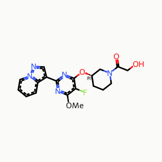 COc1nc(-c2cnn3ccccc23)nc(O[C@@H]2CCCN(C(=O)CO)C2)c1F